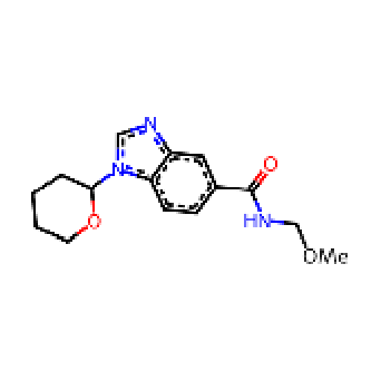 COCNC(=O)c1ccc2c(c1)ncn2C1CCCCO1